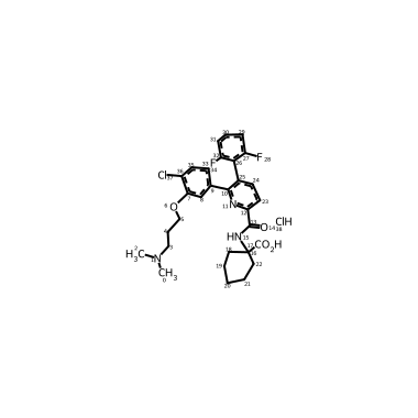 CN(C)CCCOc1cc(-c2nc(C(=O)NC3(C(=O)O)CCCCC3)ccc2-c2c(F)cccc2F)ccc1Cl.Cl